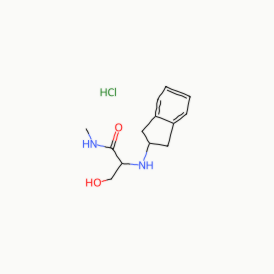 CNC(=O)C(CO)NC1Cc2ccccc2C1.Cl